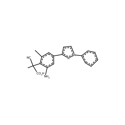 Cc1cc(-c2ccn(-c3ccccc3)n2)cc(N)c1C(C)(C#N)C(=O)O